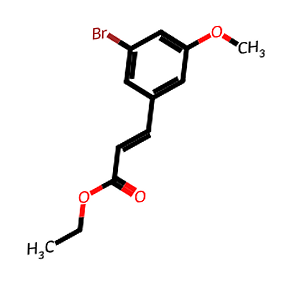 CCOC(=O)/C=C/c1cc(Br)cc(OC)c1